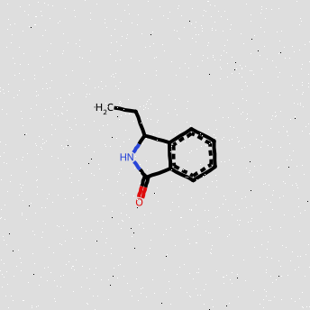 [CH2]CC1NC(=O)c2ccccc21